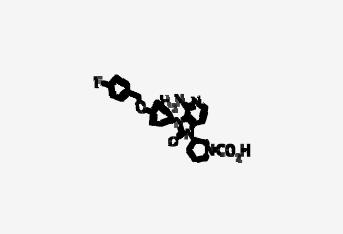 Nc1nccc2c1n(-c1ccc(OCc3ccc(F)cc3)cc1)c(=O)n2C1CCCN(C(=O)O)C1